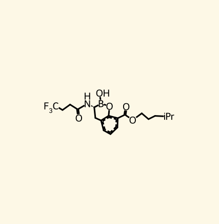 CC(C)CCCOC(=O)c1cccc2c1OB(O)[C@@H](NC(=O)CCC(F)(F)F)C2